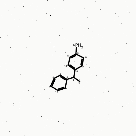 CC(c1ccccc1)c1ccc(P)cc1